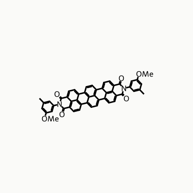 COc1cc(C)cc(N2C(=O)c3ccc4c5ccc6c7ccc8c9c(ccc(c%10ccc(c%11ccc(c3c4%11)C2=O)c5c6%10)c97)C(=O)N(c2cc(C)cc(OC)c2)C8=O)c1